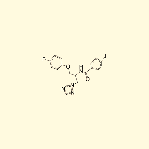 O=C(NC(COc1ccc(F)cc1)Cn1cncn1)c1ccc(I)cc1